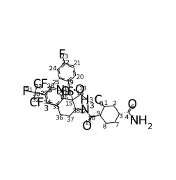 C[C@H]1C[C@H](C(N)=O)CC[C@H]1C(=O)N1CCC2(S(=O)(=O)c3ccc(F)cc3)c3ncc(C(F)(C(F)(F)F)C(F)(F)F)cc3CCC12